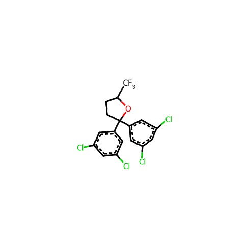 FC(F)(F)C1CCC(c2cc(Cl)cc(Cl)c2)(c2cc(Cl)cc(Cl)c2)O1